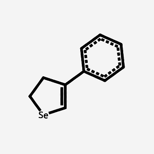 C1=C(c2ccccc2)CC[Se]1